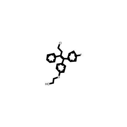 OCCOc1ccc(/C(=C(/CCCl)c2ccccc2)c2ccc(F)cc2)cc1